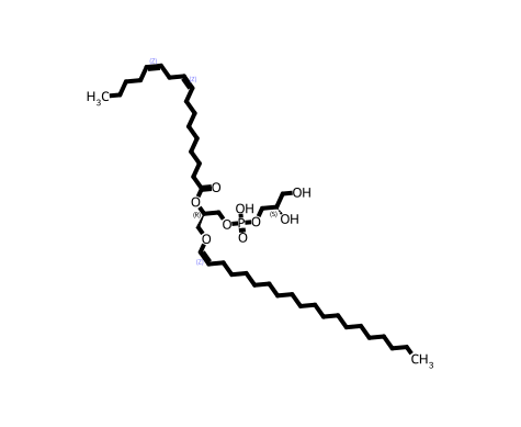 CCCC/C=C\C/C=C\CCCCCCCC(=O)O[C@H](CO/C=C\CCCCCCCCCCCCCCCCCC)COP(=O)(O)OC[C@@H](O)CO